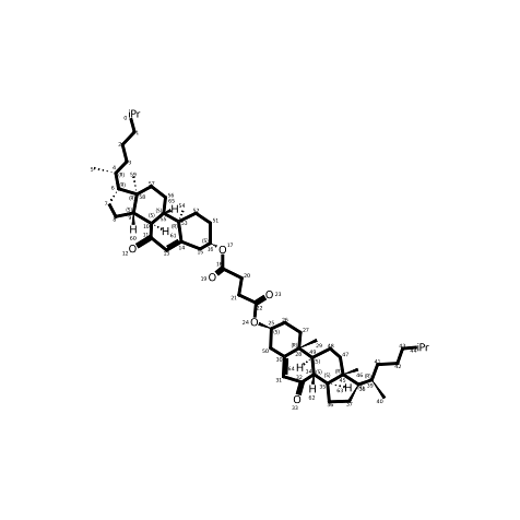 CC(C)CCC[C@@H](C)[C@H]1CC[C@H]2[C@@H]3C(=O)C=C4C[C@@H](OC(=O)CCC(=O)O[C@H]5CC[C@@]6(C)C(=CC(=O)[C@H]7[C@@H]8CC[C@H]([C@H](C)CCCC(C)C)[C@@]8(C)CC[C@@H]76)C5)CC[C@]4(C)[C@H]3CC[C@]12C